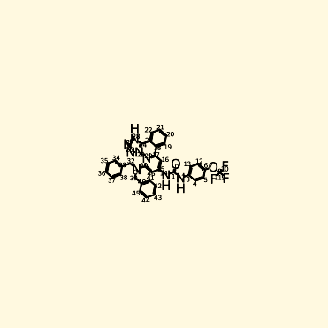 O=C(Nc1ccc(OC(F)(F)F)cc1)Nc1cc(-c2ccccc2-c2nnn[nH]2)nc(N(Cc2ccccc2)Cc2ccccc2)c1